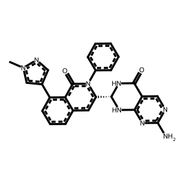 Cn1cc(-c2cccc3cc([C@@H]4NC(=O)c5cnc(N)nc5N4)n(-c4ccccc4)c(=O)c23)cn1